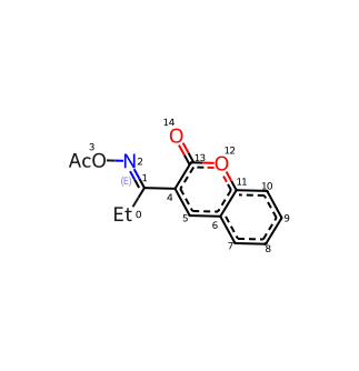 CC/C(=N\OC(C)=O)c1cc2ccccc2oc1=O